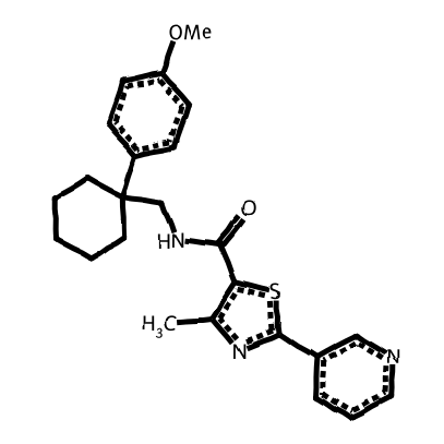 COc1ccc(C2(CNC(=O)c3sc(-c4cccnc4)nc3C)CCCCC2)cc1